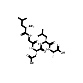 CC(C)C[C@H](NC(=O)[C@H](CC(=O)O)NC(=O)CNC(=O)[C@@H](N)CC(C)C)C(=O)N[C@@H](C)C(=O)O